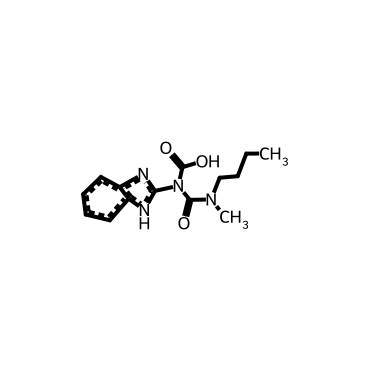 CCCCN(C)C(=O)N(C(=O)O)c1nc2ccccc2[nH]1